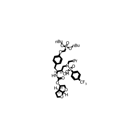 CCCCOP(=O)(COc1ccc(C[C@H](NC(=O)O[C@H]2CO[C@H]3OCC[C@H]32)[C@H](O)CN(CC(C)C)S(=O)(=O)c2ccc(C(F)(F)F)cc2)cc1)OCCCC